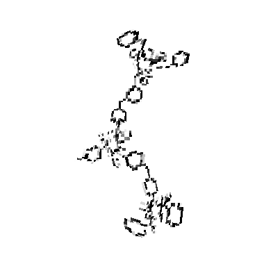 Cc1ccc(P2(=O)OP(=O)(c3ccc(Cc4ccc(P5(=O)OP(=O)(c6ccccc6)OP(=O)(c6ccccc6)O5)cc4)cc3)OP(=O)(c3ccc(Cc4cccc(CP5(=O)OP(=O)(Cc6ccccc6)OP(=O)(Cc6ccccc6)O5)c4)cc3)O2)cc1